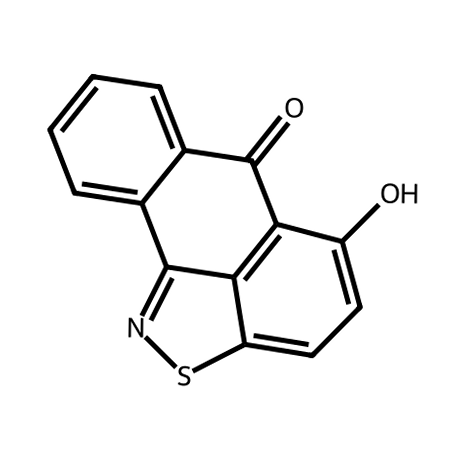 O=C1c2ccccc2-c2nsc3ccc(O)c1c23